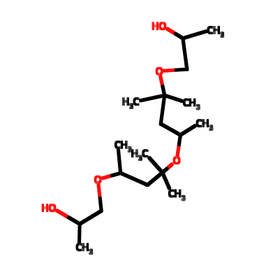 CC(O)COC(C)CC(C)(C)OC(C)CC(C)(C)OCC(C)O